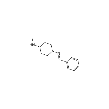 CNC1CCC(/N=C/c2ccccc2)CC1